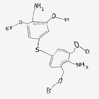 CCOc1cc(Sc2cc(OCC)c(N)c(OCC)c2)cc(OCC)c1N